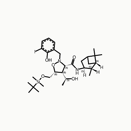 C[C@@H]1[C@@H](NC(=O)[C@@H]2[C@H]([C@H](C)O)[C@H](CO[Si](C)(C)C(C)(C)C)ON2Cc2cccc(I)c2O)CC2C[C@@H]1C2(C)C